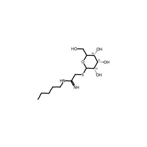 CCCCCNC(=N)CSC1OC(CO)[C@H](O)[C@H](O)[C@@H]1O